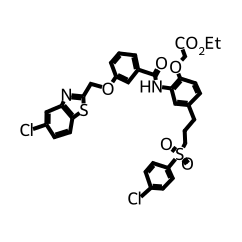 CCOC(=O)COc1ccc(CCCS(=O)(=O)c2ccc(Cl)cc2)cc1NC(=O)c1cccc(OCc2nc3cc(Cl)ccc3s2)c1